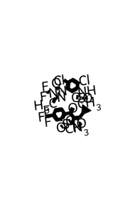 CS(=O)(=O)c1cc(C(F)(F)F)ccc1C(=O)c1cnoc1C1CC1.Cc1nn(-c2cc(NS(C)(=O)=O)c(Cl)cc2Cl)c(=O)n1C(F)F